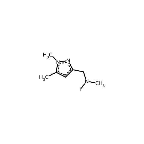 Cc1cc(CN(C)I)nn1C